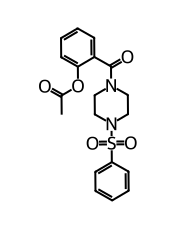 CC(=O)Oc1ccccc1C(=O)N1CCN(S(=O)(=O)c2ccccc2)CC1